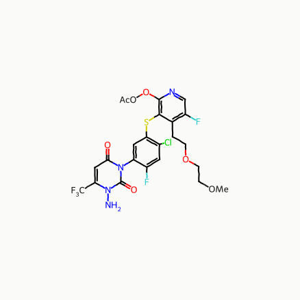 COCCOCCc1c(F)cnc(OOC(C)=O)c1Sc1cc(-n2c(=O)cc(C(F)(F)F)n(N)c2=O)c(F)cc1Cl